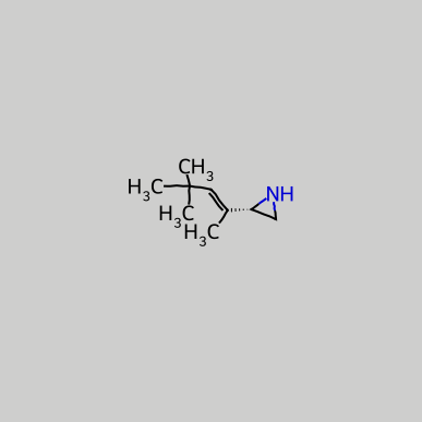 C/C(=C\C(C)(C)C)[C@H]1CN1